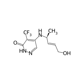 C[C@@H](/C=C/CO)Nc1cn[nH]c(=O)c1C(F)(F)F